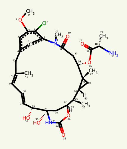 COc1cc2cc(c1Cl)N(C)C(=O)C[C@H](OC(=O)[C@H](C)N)[C@]1(C)C[C@@H]1[C@@H](C)[C@@H]1C[C@@](O)(NC(=O)O1)[C@H](O)/C=C/C=C(\C)C2